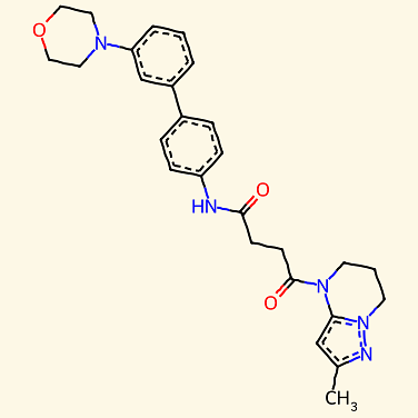 Cc1cc2n(n1)CCCN2C(=O)CCC(=O)Nc1ccc(-c2cccc(N3CCOCC3)c2)cc1